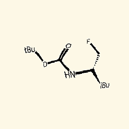 CC[C@H](C)[C@@H](CF)NC(=O)OC(C)(C)C